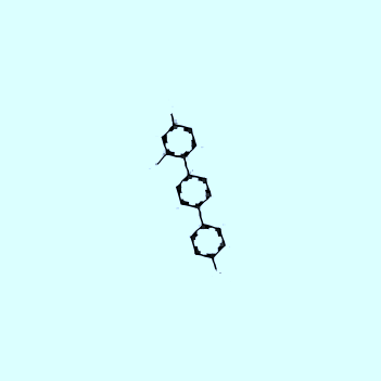 Pc1ccc(-c2ccc(-c3ccc(P)cc3I)cc2)cc1